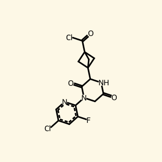 O=C1CN(c2ncc(Cl)cc2F)C(=O)C(C23CC(C(=O)Cl)(C2)C3)N1